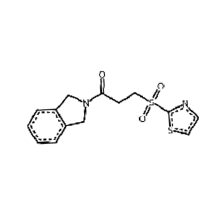 O=C(CCS(=O)(=O)c1nccs1)N1Cc2ccccc2C1